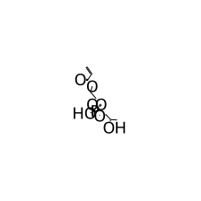 C=CC(=O)OCCOP(=O)(O)OCC(C)O